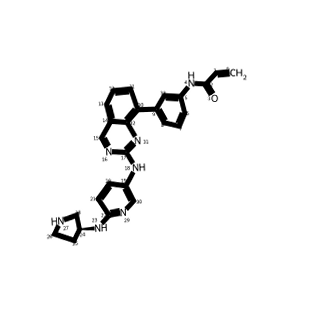 C=CC(=O)Nc1cccc(-c2cccc3cnc(Nc4ccc(N[C@H]5CCNC5)nc4)nc23)c1